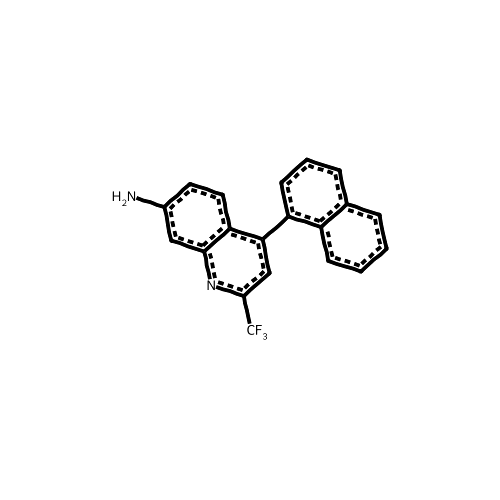 Nc1ccc2c(-c3cccc4ccccc34)cc(C(F)(F)F)nc2c1